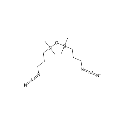 C[Si](C)(CCCN=[N+]=[N-])O[Si](C)(C)CCCN=[N+]=[N-]